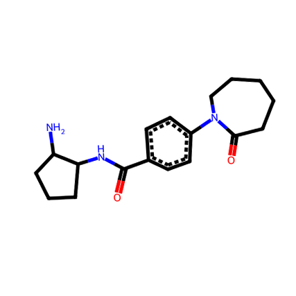 NC1CCCC1NC(=O)c1ccc(N2CCCCCC2=O)cc1